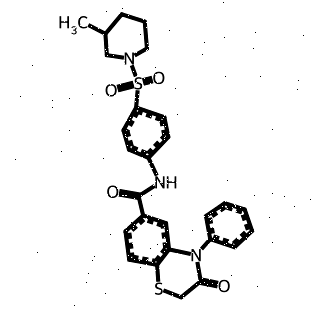 CC1CCCN(S(=O)(=O)c2ccc(NC(=O)c3ccc4c(c3)N(c3ccccc3)C(=O)CS4)cc2)C1